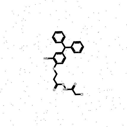 [NH]c1cc(C(c2ccccc2)c2ccccc2)ccc1SCCC(=O)ONC(=O)CCl